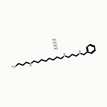 Cl.Cl.Cl.Cl.NCCCNCCCCCCCCNCCCNCc1ccccc1